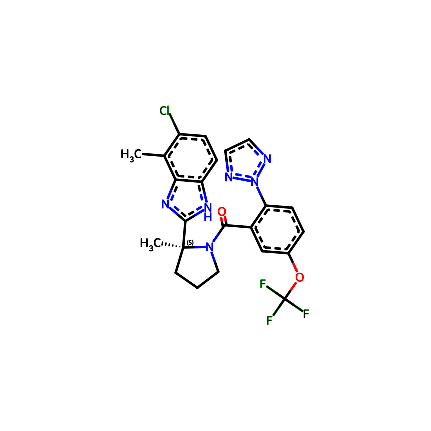 Cc1c(Cl)ccc2[nH]c([C@]3(C)CCCN3C(=O)c3cc(OC(F)(F)F)ccc3-n3nccn3)nc12